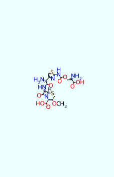 COC1=C(C(=O)O)N2C(=O)[C@@H](NC(=O)[C@H](N)c3csc(NC(=O)OC[C@@H](N)C(=O)O)n3)[C@H]2SC1